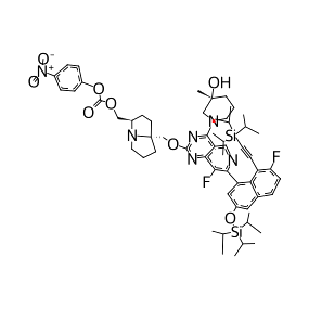 CC(C)[Si](C#Cc1c(F)ccc2cc(O[Si](C(C)C)(C(C)C)C(C)C)cc(-c3ncc4c(N5CCC[C@@](C)(O)C5)nc(OC[C@]56CCCN5[C@@H](COC(=O)Oc5ccc([N+](=O)[O-])cc5)CC6)nc4c3F)c12)(C(C)C)C(C)C